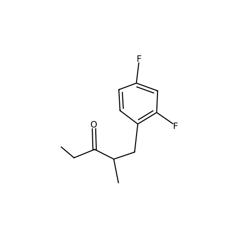 CCC(=O)C(C)Cc1ccc(F)cc1F